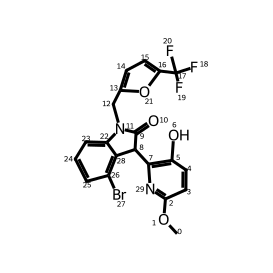 COc1ccc(O)c(C2C(=O)N(Cc3ccc(C(F)(F)F)o3)c3cccc(Br)c32)n1